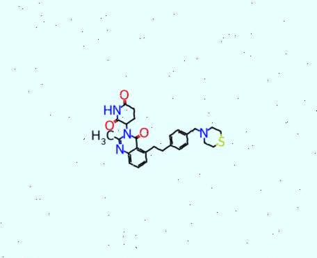 Cc1nc2cccc(CCc3ccc(CN4CCSCC4)cc3)c2c(=O)n1C1CCC(=O)NC1=O